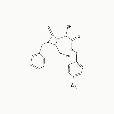 CC(=O)SC1C(Cc2ccccc2)C(=O)N1C(O)C(=O)OCc1ccc([N+](=O)[O-])cc1